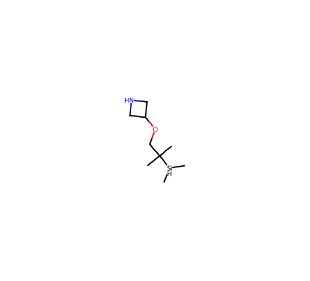 C[SiH](C)C(C)(C)COC1CNC1